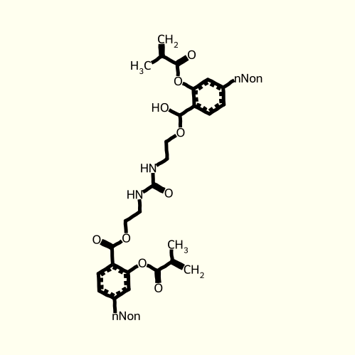 C=C(C)C(=O)Oc1cc(CCCCCCCCC)ccc1C(=O)OCCNC(=O)NCCOC(O)c1ccc(CCCCCCCCC)cc1OC(=O)C(=C)C